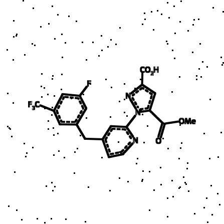 COC(=O)c1cc(C(=O)O)nn1-c1cc(Cc2cc(F)cc(C(F)(F)F)c2)ccn1